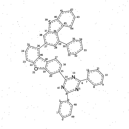 c1ccc(-c2nc(-c3ccccc3)nc(-c3ccc4c(c3)oc3cccc(-c5cc(-c6ccccc6)c6c(c5)sc5ccccc56)c34)n2)cc1